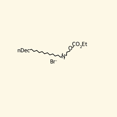 CCCCCCCCCCCCCCCCCCCCCC[N+](C)(C)CCCOCC(=O)OCC.[Br-]